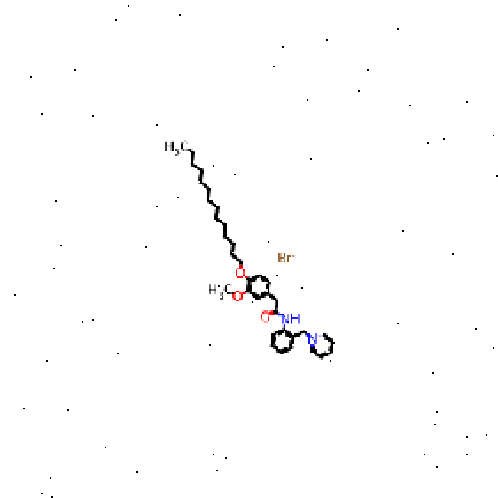 CCCCCCCCCCCCCCOc1ccc(CC(=O)Nc2ccccc2C[n+]2ccccc2)cc1OC.[Br-]